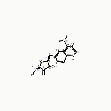 C/N=C1\NC(=O)/C(=C\c2ccc3ncnc(N(C)C)c3c2)S1